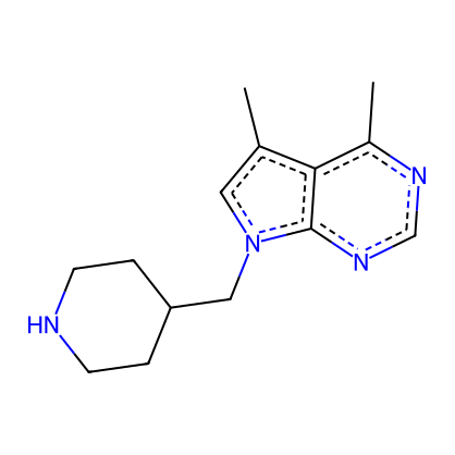 Cc1cn(CC2CCNCC2)c2ncnc(C)c12